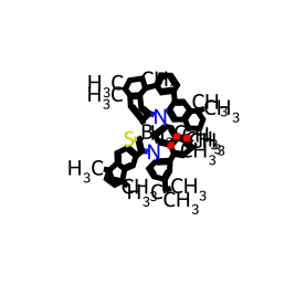 CC(C)(C)c1ccc(N2c3cc(C(C)(C)C)cc4c3B(c3cc5c6cc3N4c3cc4c(cc3-c3cccc(c3)C6(C)CCC5(C)C)C(C)(C)CCC4(C)C)c3sc4cc5c(cc4c32)C2(C)CCC5(C)C2)c(-c2ccccc2)c1